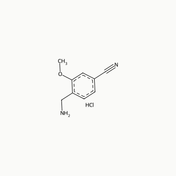 COc1cc(C#N)ccc1CN.Cl